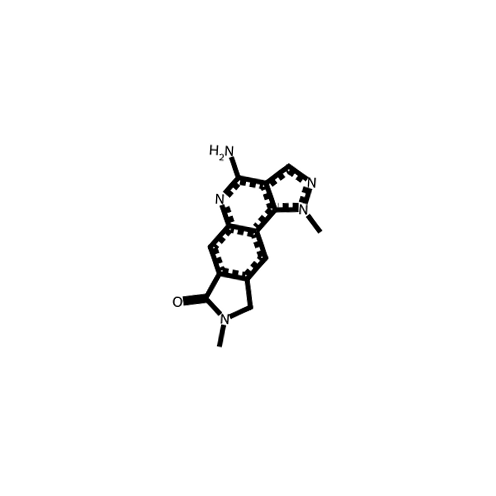 CN1Cc2cc3c(cc2C1=O)nc(N)c1cnn(C)c13